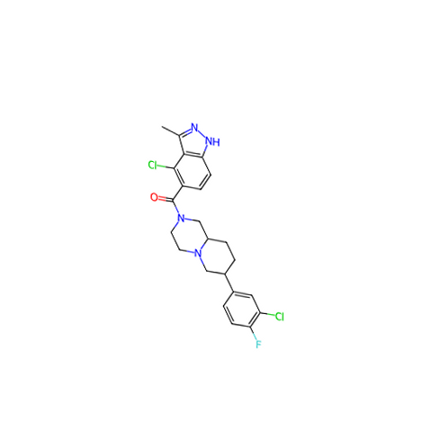 Cc1n[nH]c2ccc(C(=O)N3CCN4CC(c5ccc(F)c(Cl)c5)CCC4C3)c(Cl)c12